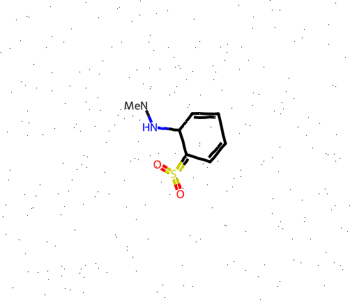 CNNC1C=CC=CC1=S(=O)=O